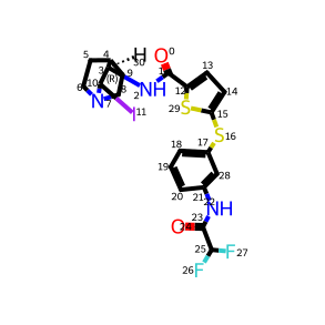 O=C(N[C@@H]1C2CCN(CC2)C1I)c1ccc(Sc2cccc(NC(=O)C(F)F)c2)s1